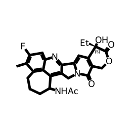 CC[C@@]1(O)C(=O)OCc2c1cc1n(c2=O)Cc2c-1nc1cc(F)c(C)c3c1c2C(NC(C)=O)CCC3